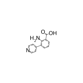 Nc1c(C(=O)O)cccc1-c1ccncc1